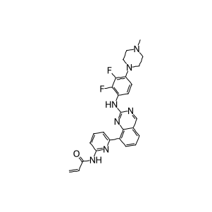 C=CC(=O)Nc1cccc(-c2cccc3cnc(Nc4ccc(N5CCN(C)CC5)c(F)c4F)nc23)n1